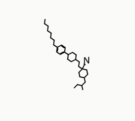 CCCCCCCCc1ccc(C2CCC(CCC3(C#N)CCC(CC(C)CC)CC3)CC2)cc1